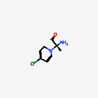 C[C@](N)([C]=O)N1C=CC(Cl)=CC1